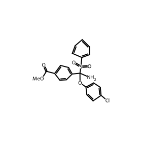 COC(=O)c1ccc(C(N)(Oc2ccc(Cl)cc2)S(=O)(=O)c2ccccc2)cc1